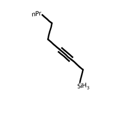 CCCCCC#CC[SiH3]